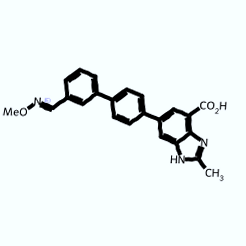 CO/N=C/c1cccc(-c2ccc(-c3cc(C(=O)O)c4nc(C)[nH]c4c3)cc2)c1